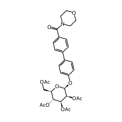 CC(=O)OC[C@H]1O[C@@H](Oc2ccc(-c3ccc(C(=O)N4CCOCC4)cc3)cc2)[C@@H](OC(C)=O)[C@@H](OC(C)=O)[C@@H]1OC(C)=O